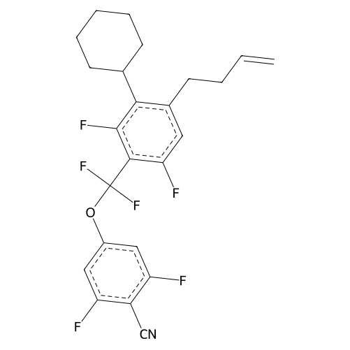 C=CCCc1cc(F)c(C(F)(F)Oc2cc(F)c(C#N)c(F)c2)c(F)c1C1CCCCC1